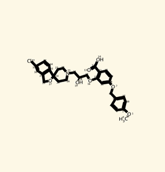 COc1ccc(COc2ccc(C(=O)O)c(OC[C@@H](O)CN3CCC4(CC3)OCc3cc(Cl)ccc34)c2)cc1